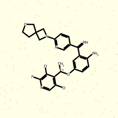 C[C@@H](Oc1ccc(N)c(C(=N)c2ccc(N3CC4(CCOC4)C3)nc2)c1)c1c(Cl)cnc(F)c1Cl